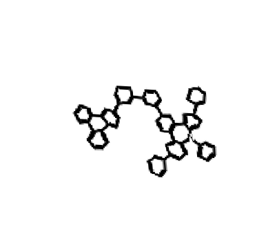 c1ccc(-c2ccc3c(c2)-c2ccc(-c4cccc(-c5cccc(-c6ccc7c8ccccc8c8ccccc8c7c6)c5)c4)cc2-c2cc(-c4ccccc4)ccc2N3c2ccccc2)cc1